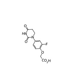 O=C(O)COc1ccc(N2CCC(=O)NC2=O)cc1F